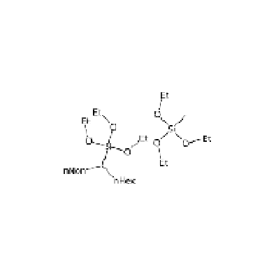 CCCCCCCCCC(CCCCCC)[Si](OCC)(OCC)OCC.CCO[Si](C)(OCC)OCC